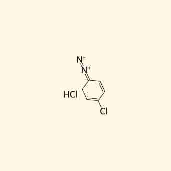 Cl.[N-]=[N+]=C1C=CC(Cl)=CC1